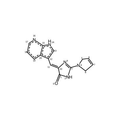 O=C1NC(N2CC=CC2)=N/C1=C\c1c[nH]c2ncccc12